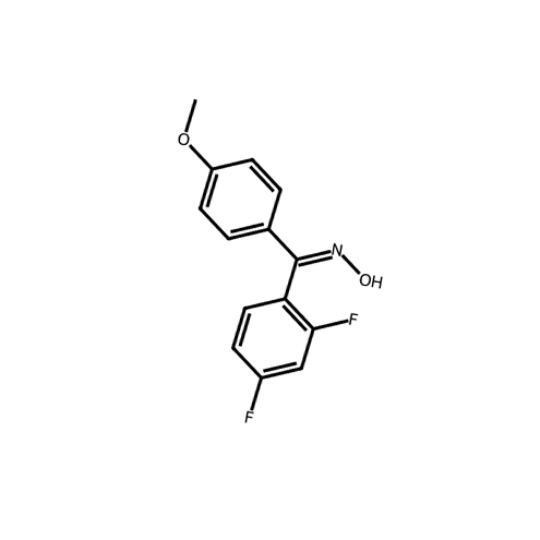 COc1ccc(C(=NO)c2ccc(F)cc2F)cc1